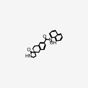 O=C(c1ccc2c(c1)CC[C@]1(CCNC1=O)C2)N(O)c1cccc2ccccc12